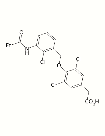 CCC(=O)Nc1cccc(COc2c(Cl)cc(CC(=O)O)cc2Cl)c1Cl